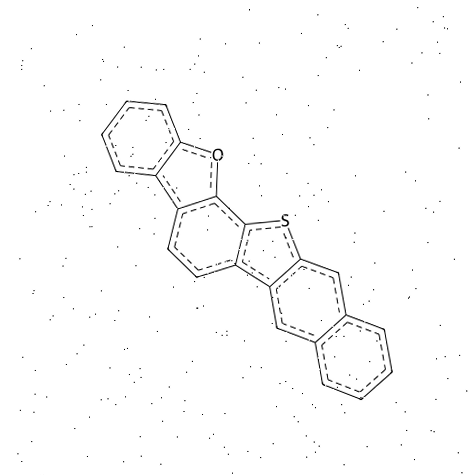 c1ccc2cc3c(cc2c1)sc1c3ccc2c3ccccc3oc21